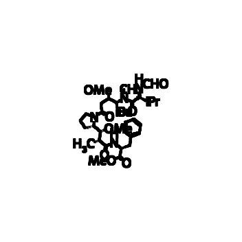 CC[C@H](C)[C@@H]([C@@H](CC(=O)N1CCC[C@H]1[C@H](OC)[C@@H](C)C(=O)N[C@@H](Cc1ccccc1)C(=O)OC)OC)N(C)C(=O)[C@@H](NC=O)C(C)C